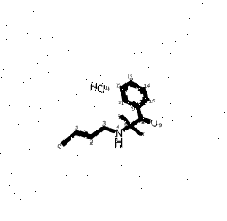 CCCCNC(C)(C)C(=O)c1ccccc1.Cl